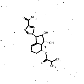 CC(C)C(=O)O[C@@H]1CCC=C2[C@H]1[C@@H](O)[C@@H](O)[C@@H]2n1cnc(C(N)=O)n1